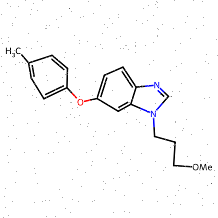 COCCCn1[c]nc2ccc(Oc3ccc(C)cc3)cc21